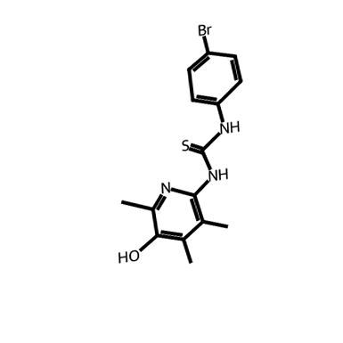 Cc1nc(NC(=S)Nc2ccc(Br)cc2)c(C)c(C)c1O